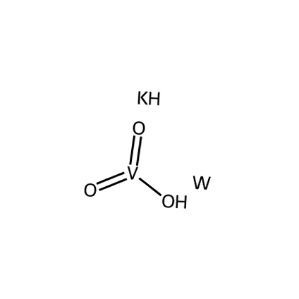 [KH].[O]=[V](=[O])[OH].[W]